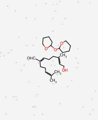 C1CCC(OC2CCCCO2)OC1.CC(C)=CCCC(C=O)=CCCC(C)=CCO